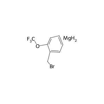 FC(F)(F)Oc1ccccc1CBr.[MgH2]